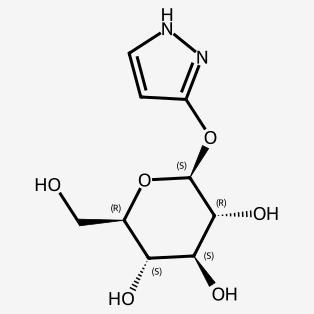 OC[C@H]1O[C@@H](Oc2cc[nH]n2)[C@H](O)[C@@H](O)[C@@H]1O